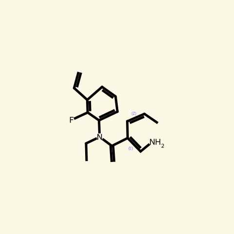 C=Cc1cccc(N(CC)C(=C)C(/C=C\C)=C/N)c1F